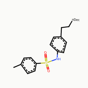 CCCCCCCCCCCCc1ccc(NS(=O)(=O)c2ccc(C)cc2)cc1